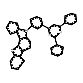 c1ccc(-c2cc(-c3cccc(-n4c5ccccc5c5c6oc7ccccc7c6ccc54)c3)nc(-c3ccccc3)n2)cc1